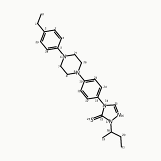 CCc1ccc(N2CCN(c3ccc(-n4cnn(C(C)CC)c4=S)cc3)CC2)cc1